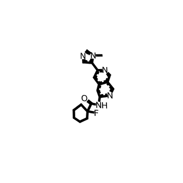 Cn1cncc1-c1cc2cc(NC(=O)C3(F)CCCCC3)ncc2cn1